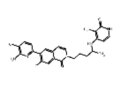 CC(CCCn1ccc2cc(-c3ccc(Cl)c(N)n3)c(F)cc2c1=O)Nc1cn[nH]c(=O)c1C(F)(F)F